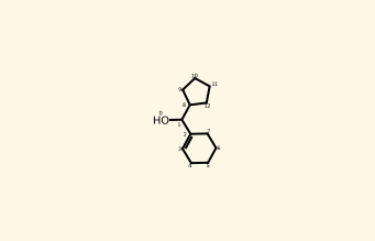 OC(C1=CCCCC1)C1CCCC1